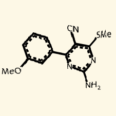 COc1cccc(-c2nc(N)nc(SC)c2C#N)c1